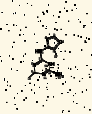 Cc1occc1NC1=NC(C)N=C(N)N1